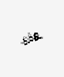 CC[C@H]1CN(C[C@@H]2CN(c3ccc(C#N)c4ncccc34)C[C@@H](C)O2)CCN1